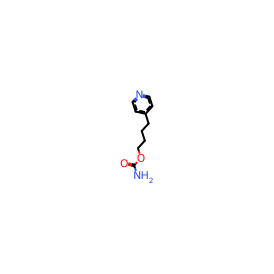 NC(=O)OCCCCc1ccncc1